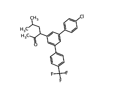 CC(=O)C(CC(C)C)c1cc(-c2ccc(Cl)cc2)cc(-c2ccc(C(F)(F)F)cc2)c1